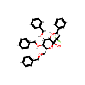 CC(F)(F)[C@]1(O)O[C@H](COCc2ccccc2)[C@@H](OCc2ccccc2)[C@H](OCc2ccccc2)[C@H]1OCc1ccccc1